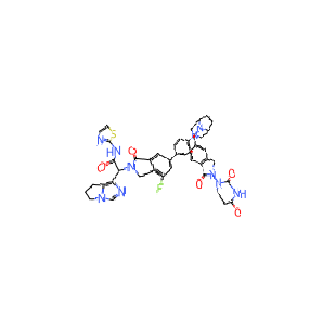 O=C1CCN(N2Cc3cc(CN4C5CCC4CN(c4ccc(-c6cc(F)c7c(c6)C(=O)N(C(C(=O)Nc6nccs6)c6ncn8c6CCC8)C7)cc4)C5)ccc3C2=O)C(=O)N1